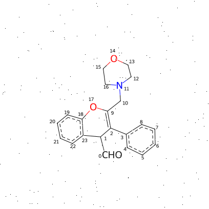 O=CC1C(c2ccccc2)=C(CN2CCOCC2)Oc2ccccc21